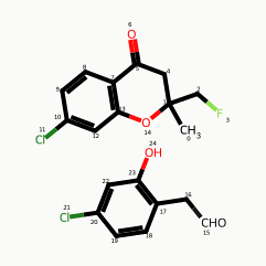 CC1(CF)CC(=O)c2ccc(Cl)cc2O1.O=CCc1ccc(Cl)cc1O